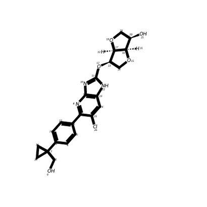 OCC1(c2ccc(-c3nc4nc(O[C@@H]5CO[C@H]6[C@@H]5OC[C@H]6O)[nH]c4cc3Cl)cc2)CC1